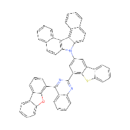 c1ccc2c(c1)ccc1c2c2c3ccccc3ccc2n1-c1cc(-c2nc(-c3cccc4c3oc3ccccc34)c3ccccc3n2)c2sc3ccccc3c2c1